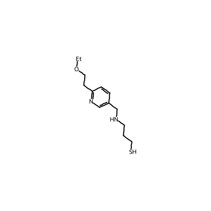 CCOCCc1ccc(CNCCCS)cn1